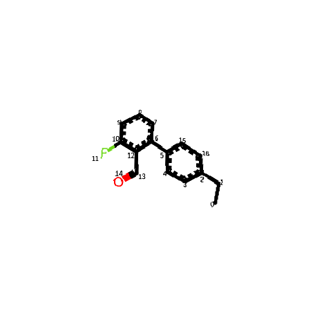 CCc1ccc(-c2cccc(F)c2C=O)cc1